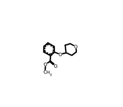 COC(=O)c1ccccc1OC1CCOCC1